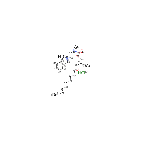 CCCCCCCCCCCCCCCCCCOCC(COC(=O)N(CCN(C)Cc1ccccc1)C(C)=O)OC(C)=O.Cl